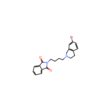 O=C1c2ccccc2C(=O)N1CCCCN1CCc2ccc(Br)cc2C1